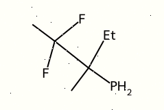 CCC(C)(P)C(C)(F)F